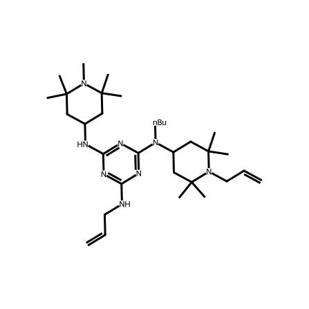 C=CCNc1nc(NC2CC(C)(C)N(C)C(C)(C)C2)nc(N(CCCC)C2CC(C)(C)N(CC=C)C(C)(C)C2)n1